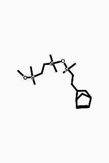 CO[Si](C)(C)CC[Si](C)(C)O[Si](C)(C)CCC1CC2C=CC1C2